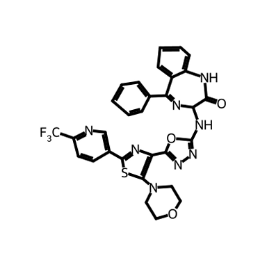 O=C1Nc2ccccc2C(c2ccccc2)=NC1Nc1nnc(-c2nc(-c3ccc(C(F)(F)F)nc3)sc2N2CCOCC2)o1